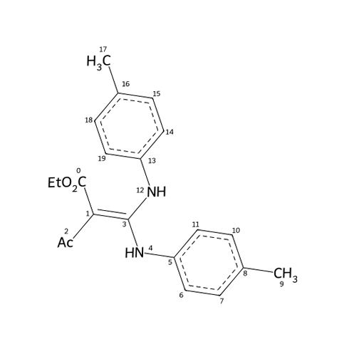 CCOC(=O)C(C(C)=O)=C(Nc1ccc(C)cc1)Nc1ccc(C)cc1